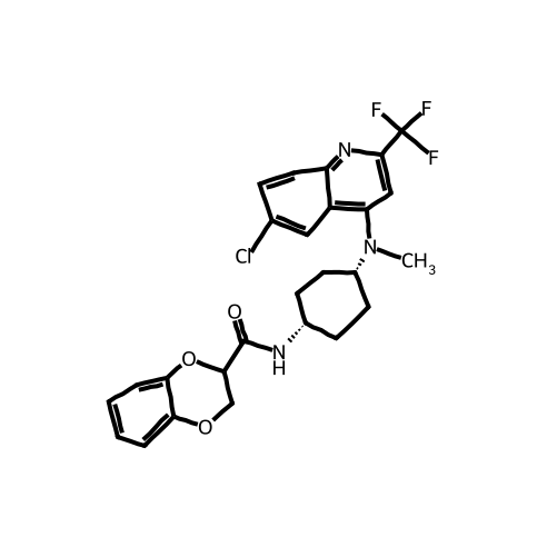 CN(c1cc(C(F)(F)F)nc2ccc(Cl)cc12)[C@H]1CC[C@@H](NC(=O)C2COc3ccccc3O2)CC1